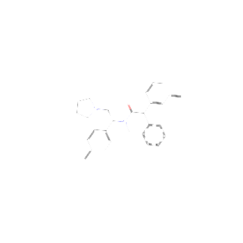 C=C/C=C\C(=C/C)[C@@H](CN1CC[C@H](O)C1)N(C)C(=O)C(C(/C=C\C)=C/C=C)c1ccccc1